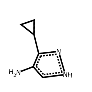 Nc1c[nH]nc1C1CC1